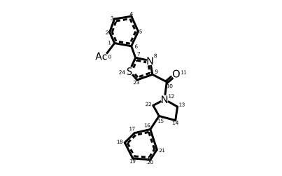 CC(=O)c1ccccc1-c1nc(C(=O)N2CCC(c3ccccc3)C2)cs1